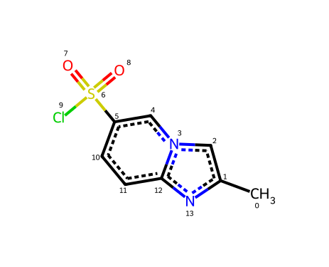 Cc1cn2cc(S(=O)(=O)Cl)ccc2n1